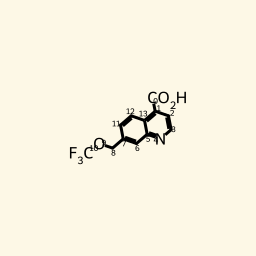 O=C(O)c1ccnc2cc(COC(F)(F)F)ccc12